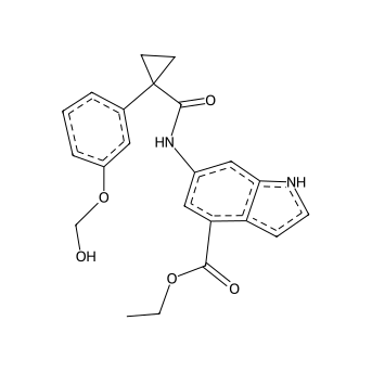 CCOC(=O)c1cc(NC(=O)C2(c3cccc(OCO)c3)CC2)cc2[nH]ccc12